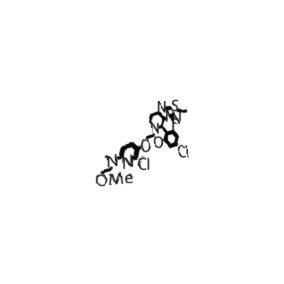 COCCN(C)c1ccc(OCC(=O)N2CCc3nc4sc(C)nn4c3C2c2ccc(Cl)cc2F)c(Cl)n1